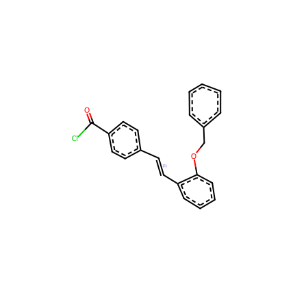 O=C(Cl)c1ccc(/C=C/c2ccccc2OCc2ccccc2)cc1